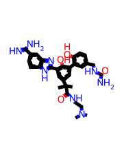 CN(C)CCNC(=O)C(C)(C)c1cc(-c2nc3cc(C(=N)N)ccc3[nH]2)c(O)c(-c2cc(CNC(N)=O)ccc2O)c1